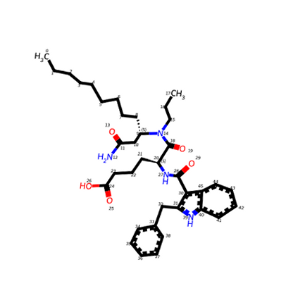 CCCCCCCCC[C@@H](CC(N)=O)N(CCC)C(=O)[C@H](CCCC(=O)O)NC(=O)c1c(Cc2ccccc2)[nH]c2ccccc12